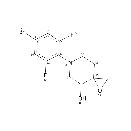 OC1CN(c2c(F)cc(Br)cc2F)CCC12CO2